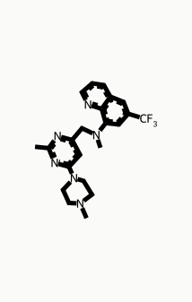 Cc1nc(CN(C)c2cc(C(F)(F)F)cc3cccnc23)cc(N2CCN(C)CC2)n1